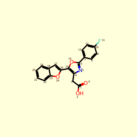 O=C(O)Cc1nc(-c2ccc(F)cc2)oc1-c1cc2ccccc2o1